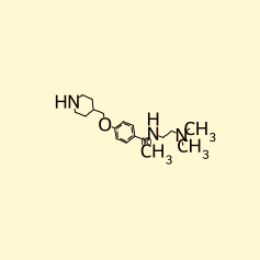 C[C@@H](NCCN(C)C)c1ccc(OCC2CCNCC2)cc1